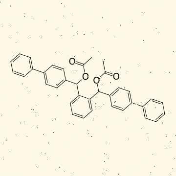 CC(=O)OC(c1ccc(-c2ccccc2)cc1)c1ccccc1C(OC(C)=O)c1ccc(-c2ccccc2)cc1